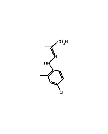 CC(=NNc1ccc(Cl)cc1C)C(=O)O